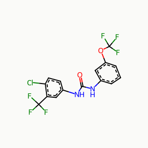 O=C(Nc1cccc(OC(F)(F)F)c1)Nc1ccc(Cl)c(C(F)(F)F)c1